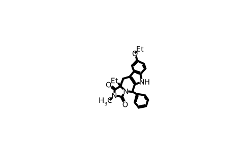 CCOc1ccc2[nH]c3c(c2c1)CC1(CC)C(=O)N(C)C(=O)N1C3c1ccccc1